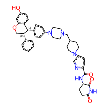 O=C1CCC(NC(=O)c2ccc(N3CCC(CN4CCN(c5ccc([C@H]6c7ccc(O)cc7OC[C@H]6c6ccccc6)cc5)CC4)CC3)cn2)C(=O)N1